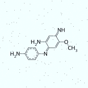 COC1=C/C(=N/c2ccc(N)cc2)C(N)=CC1=N